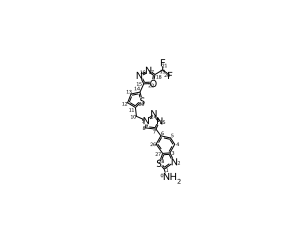 Nc1nc2ccc(-c3cn(Cc4ccc(-c5nnc(C(F)F)o5)s4)nn3)cc2s1